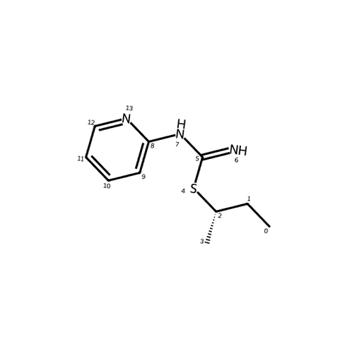 CC[C@H](C)SC(=N)Nc1ccccn1